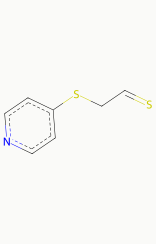 S=CCSc1ccncc1